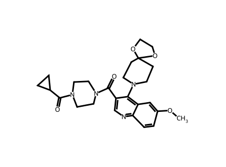 COc1ccc2ncc(C(=O)N3CCN(C(=O)C4CC4)CC3)c(N3CCC4(CC3)OCCO4)c2c1